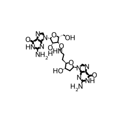 Nc1nc2c(ncn2[C@@H]2O[C@H](CO)[C@@H](ONCC[C@H]3O[C@@H](n4cnc5c(=O)[nH]c(N)nc54)C[C@@H]3O)[C@@H]2O)c(=O)[nH]1